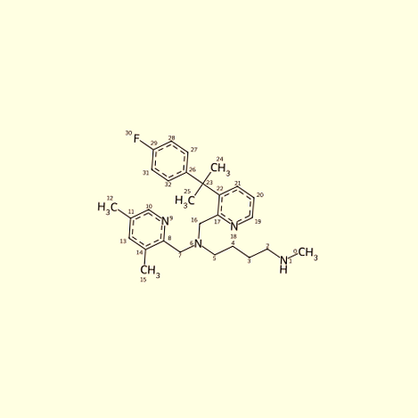 CNCCCCN(Cc1ncc(C)cc1C)Cc1ncccc1C(C)(C)c1ccc(F)cc1